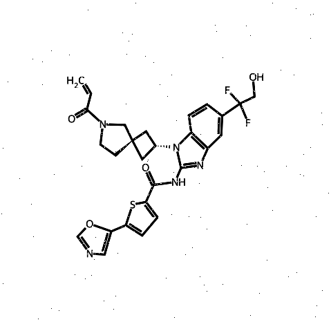 C=CC(=O)N1CC[C@]2(C1)C[C@@H](n1c(NC(=O)c3ccc(-c4cnco4)s3)nc3cc(C(F)(F)CO)ccc31)C2